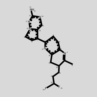 CC1=Nc2ccc(-c3ccn4nc(N)ncc34)nc2CC1CCC(F)F